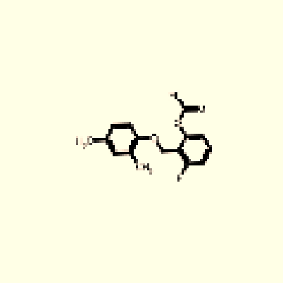 CCC(=O)Oc1cccc(F)c1COc1ccc(C)cc1C